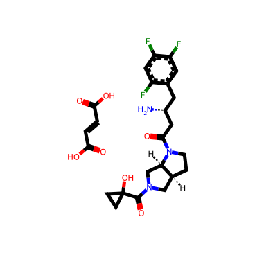 N[C@@H](CC(=O)N1CC[C@H]2CN(C(=O)C3(O)CC3)C[C@H]21)Cc1cc(F)c(F)cc1F.O=C(O)/C=C/C(=O)O